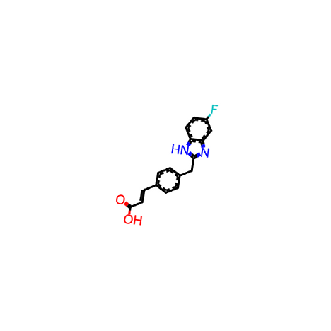 O=C(O)/C=C/c1ccc(Cc2nc3cc(F)ccc3[nH]2)cc1